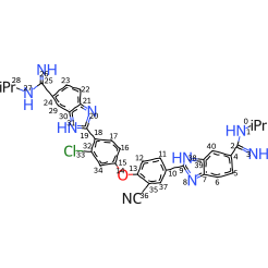 CC(C)NC(=N)c1ccc2nc(-c3ccc(Oc4ccc(-c5nc6ccc(C(=N)NC(C)C)cc6[nH]5)c(Cl)c4)c(C#N)c3)[nH]c2c1